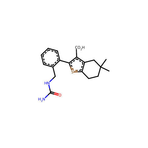 CC1(C)CCc2sc(-c3ccccc3CNC(N)=O)c(C(=O)O)c2C1